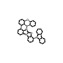 c1ccc2c(c1)Oc1cccc3c1B2n1c2c-3cccc2n2c3cccc(-n4c5ccccc5c5ccccc54)c3nc12